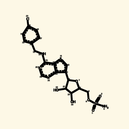 NS(=O)(=O)OCC1OC(c2csc3c(NCc4ccc(Cl)cc4)ncnc23)C(O)C1O